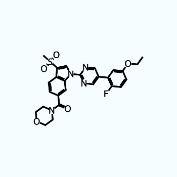 CCOc1ccc(F)c(-c2cnc(-n3cc(S(C)(=O)=O)c4ccc(C(=O)N5CCOCC5)cc43)nc2)c1